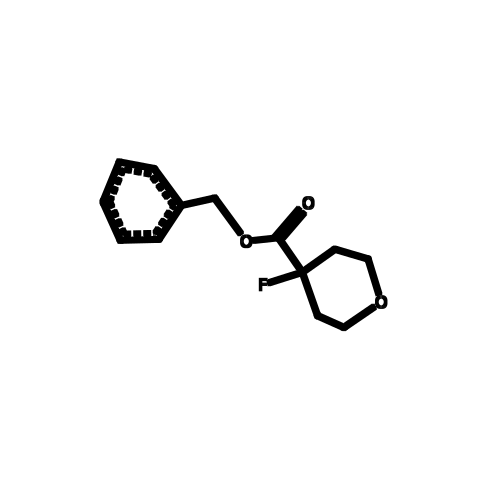 O=C(OCc1ccccc1)C1(F)CCOCC1